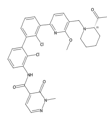 COc1nc(-c2cccc(-c3cccc(NC(=O)c4ccnn(C)c4=O)c3Cl)c2Cl)ccc1CN1CCCC[C@H]1C(C)=O